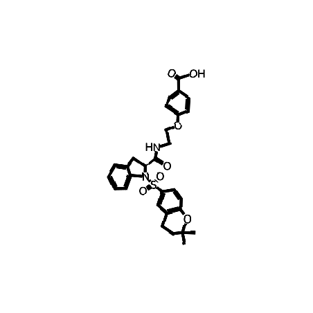 CC1(C)CCc2cc(S(=O)(=O)N3c4ccccc4C[C@H]3C(=O)NCCOc3ccc(C(=O)O)cc3)ccc2O1